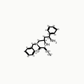 [N-]=[N+]=CC(=O)N(Cc1ccccc1)CC(O)CC(N)c1ccccc1